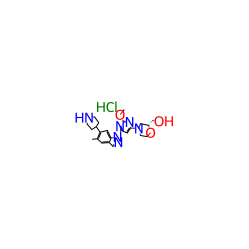 COc1nc(N2CCO[C@@H](CO)C2)cc(-n2ncc3cc(C)c(C4CCNCC4)cc32)n1.Cl